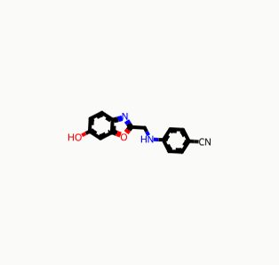 N#Cc1ccc(NCc2nc3ccc(O)cc3o2)cc1